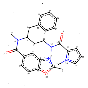 Cc1nc2cc(C(=O)N(C)C(CCNC(=O)c3cccn3C)Cc3ccccc3)ccc2o1